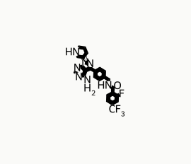 Nc1ncnc2c1c(-c1ccc(CNC(=O)c3ccc(C(F)(F)F)cc3F)cc1)nn2[C@@H]1CCCNC1